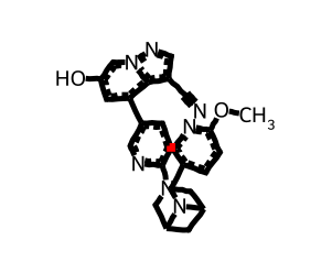 COc1ccc(CN2C3CC2CN(c2ccc(-c4cc(O)cn5ncc(C#N)c45)cn2)C3)cn1